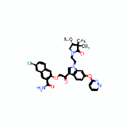 CC(=O)O[C@H]1CN(CCn2cc(C(=O)COc3cc4ccc(Cl)cc4cc3C(N)=O)c3ccc(Oc4cccnn4)cc32)C(=O)C1(C)OC(C)=O